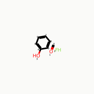 C=O.F.Oc1ccccc1